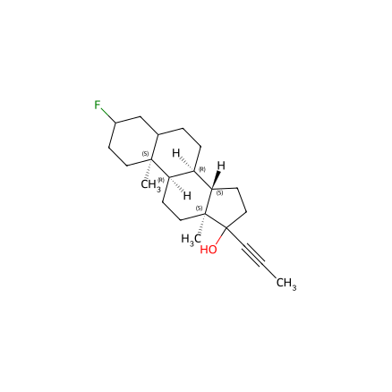 CC#CC1(O)CC[C@H]2[C@@H]3CCC4CC(F)CC[C@]4(C)[C@@H]3CC[C@@]21C